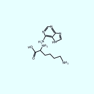 NCCCCC(N)C(=O)O.Nc1ncnc2nc[nH]c12